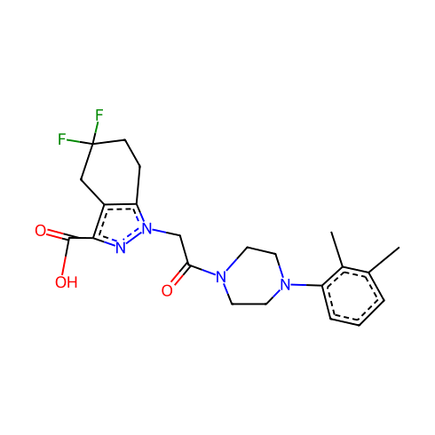 Cc1cccc(N2CCN(C(=O)Cn3nc(C(=O)O)c4c3CCC(F)(F)C4)CC2)c1C